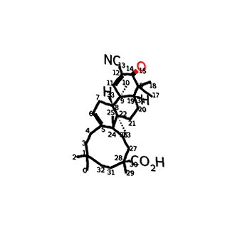 CC1(C)CCC2=CC[C@@H]3[C@@]4(C)C=C(C#N)C(=O)C(C)(C)[C@@H]4CC[C@@]3(C)[C@]2(C)CC[C@@](C)(C(=O)O)CC1